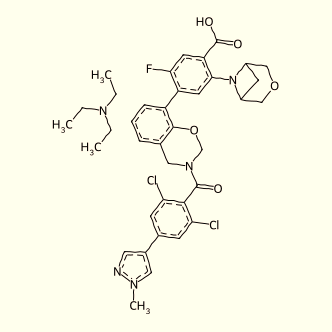 CCN(CC)CC.Cn1cc(-c2cc(Cl)c(C(=O)N3COc4c(cccc4-c4cc(N5C6COCC5C6)c(C(=O)O)cc4F)C3)c(Cl)c2)cn1